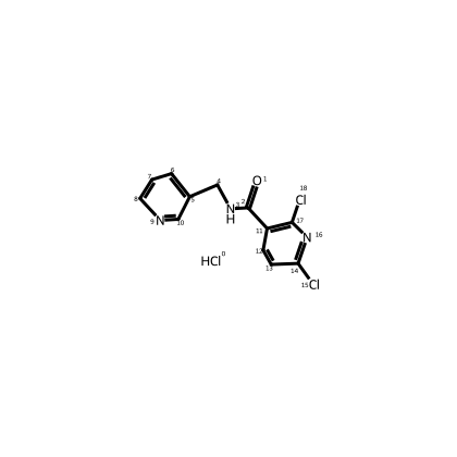 Cl.O=C(NCc1cccnc1)c1ccc(Cl)nc1Cl